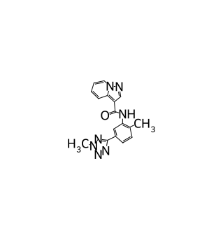 Cc1ccc(-c2nnn(C)n2)cc1NC(=O)c1cnn2ccccc12